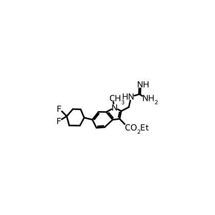 CCOC(=O)c1c(CNC(=N)N)n(C)c2cc(C3CCC(F)(F)CC3)ccc12